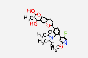 COc1cc(-c2ccc(C3CCc4ccc([C@H](O)[C@H](C)C(=O)O)cc4O3)cc2CN(C(C)C)C(C)C)c(F)cn1